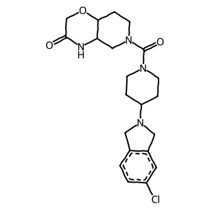 O=C1COC2CCN(C(=O)N3CCC(N4Cc5ccc(Cl)cc5C4)CC3)CC2N1